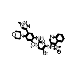 COc1cc(N2CCOCC2)c(-c2cn(C)nn2)cc1Nc1ncc(Br)c(Nc2cnc3ccccc3c2P(C)(C)=O)n1